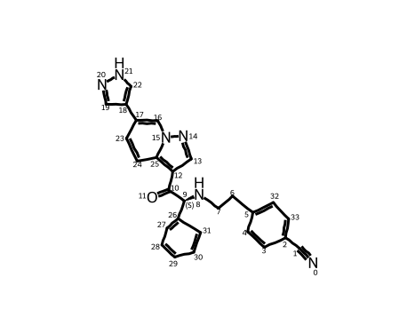 N#Cc1ccc(CCN[C@H](C(=O)c2cnn3cc(-c4cn[nH]c4)ccc23)c2ccccc2)cc1